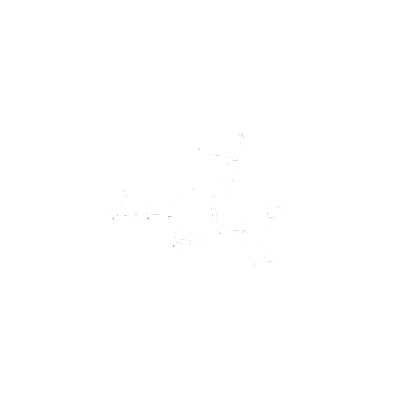 COC(=O)c1ccc(C2CC2)cc1OC(C)C